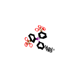 O=S(=O)([O-])c1cccc(P(c2ccccc2)c2cccc(S(=O)(=O)[O-])c2)c1.[Na+].[Na+]